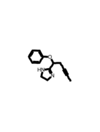 CC#CCC(Oc1ccccc1)C1=NCCN1